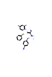 Cc1ccc(-n2ncc(-c3nnnn3Cc3ccc(C#N)cc3)c2SCc2ccccc2)c(C)c1